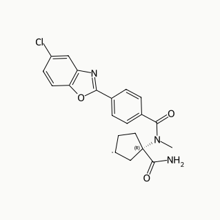 CN(C(=O)c1ccc(-c2nc3cc(Cl)ccc3o2)cc1)[C@]1(C(N)=O)C[CH]CC1